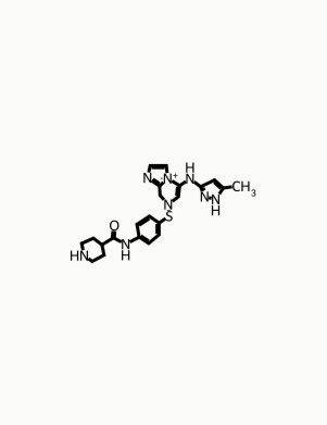 Cc1cc(NC2=CN(Sc3ccc(NC(=O)C4CCNCC4)cc3)CC3=NC=C[N+]23)n[nH]1